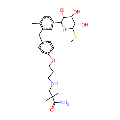 CS[C@H]1OC(c2ccc(C)c(Cc3ccc(OCCCNCC(C)(C)C(N)=O)cc3)c2)[C@H](O)[C@@H](O)[C@@H]1O